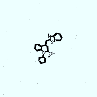 COC1=CC(=CC2Sc3ccccc3N2C)c2ccccc2N1c1ccccc1.I